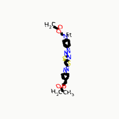 C=CC(=O)OCCN(CC)c1ccc(N=Nc2nc3sc(N=Nc4ccc(CCOC(=O)C(=C)C)cc4)cc3s2)cc1